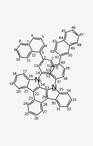 c1cc(-c2cccc3ccccc23)cc(-n2c3ccccc3c3c4ccccc4c4c5ccccc5n(-c5ccc(-c6ccc7ccccc7c6)cc5)c4c32)c1